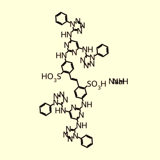 O=S(=O)(O)c1cc(Nc2nc(Nc3nnnn3-c3ccccc3)cc(Nc3nnnn3-c3ccccc3)n2)ccc1C=Cc1ccc(Nc2nc(Nc3nnnn3-c3ccccc3)cc(Nc3nnnn3-c3ccccc3)n2)cc1S(=O)(=O)O.[NaH].[NaH]